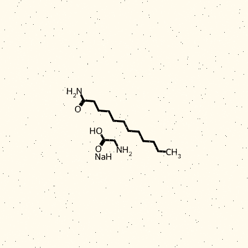 CCCCCCCCCCCC(N)=O.NCC(=O)O.[NaH]